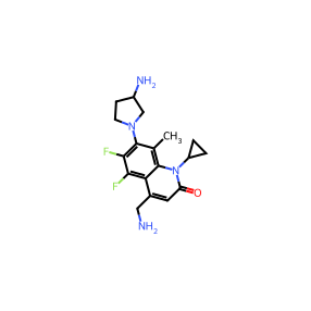 Cc1c(N2CCC(N)C2)c(F)c(F)c2c(CN)cc(=O)n(C3CC3)c12